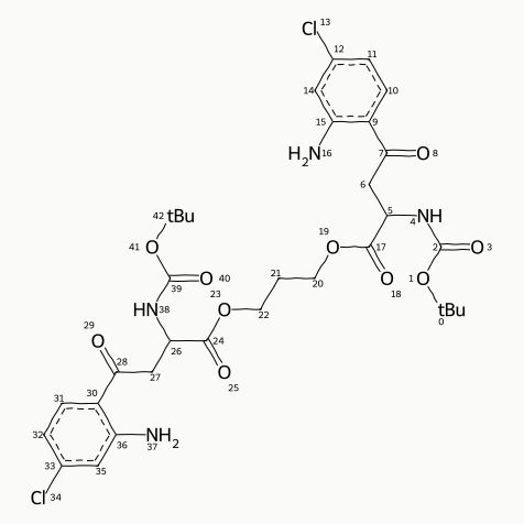 CC(C)(C)OC(=O)NC(CC(=O)c1ccc(Cl)cc1N)C(=O)OCCCOC(=O)C(CC(=O)c1ccc(Cl)cc1N)NC(=O)OC(C)(C)C